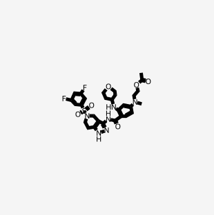 CC(=O)OCCN(C)c1ccc(C(=O)Nc2n[nH]c3c2CN(S(=O)(=O)c2cc(F)cc(F)c2)CC3)c(NC2CCOCC2)c1